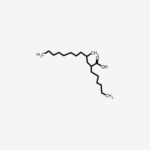 CCCCCCCCC(C)CC(CCCCCC)C(=O)O